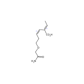 C/C=C(\C=C/CCOCC(N)=O)C(=O)O